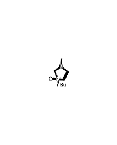 CCCC[N+]1([O-])C=CN(C)C1